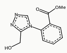 COC(=O)c1ccccc1-n1cnnc1CO